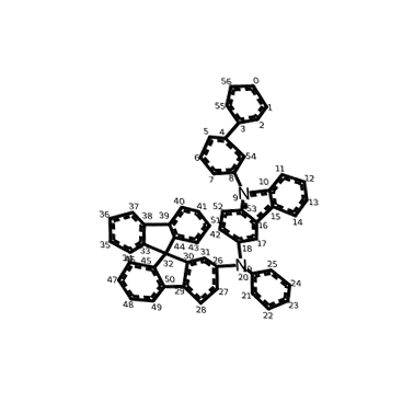 c1ccc(-c2cccc(-n3c4ccccc4c4cc(N(c5ccccc5)c5ccc6c(c5)C5(c7ccccc7-c7ccccc75)c5ccccc5-6)ccc43)c2)cc1